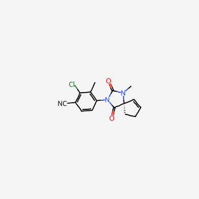 Cc1c(N2C(=O)N(C)[C@@]3(C=CCC3)C2=O)ccc(C#N)c1Cl